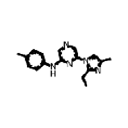 CCc1nc(C)cn1-c1cncc(Nc2ccc(C)cc2)n1